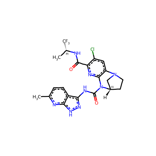 Cc1ccc2c(NC(=O)N3c4nc(C(=O)N[C@H](C)C(F)(F)F)c(Cl)cc4N4CC[C@H]3C4)n[nH]c2n1